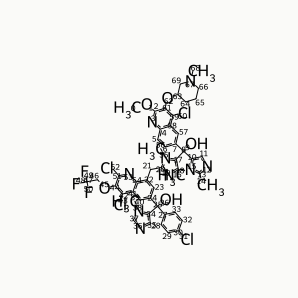 COc1nc2ccc(C(O)(c3cnc(C)n3C)c3cnc(Cc4cc(C(O)(c5ccc(Cl)cc5)c5cncn5C)cc5c(Cl)c(OCC(F)(F)F)c(Cl)nc45)n3C)cc2c(Cl)c1OC1CCCN(C)C1